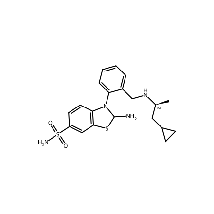 C[C@@H](CC1CC1)NCc1ccccc1N1c2ccc(S(N)(=O)=O)cc2SC1N